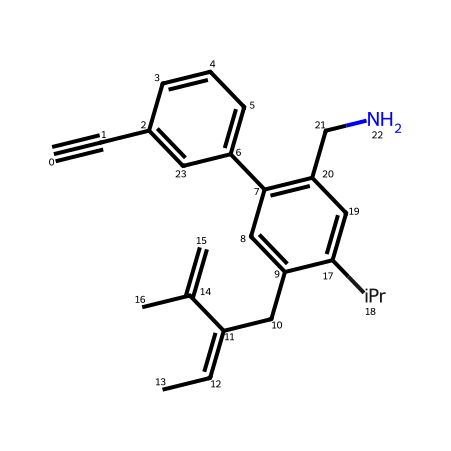 C#Cc1cccc(-c2cc(C/C(=C/C)C(=C)C)c(C(C)C)cc2CN)c1